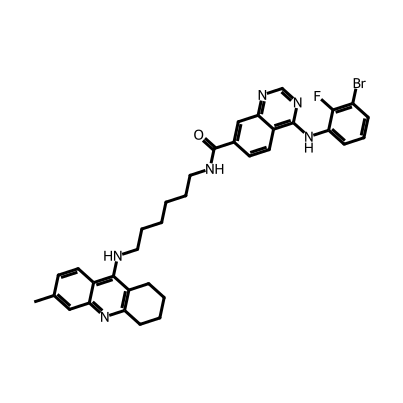 Cc1ccc2c(NCCCCCCNC(=O)c3ccc4c(Nc5cccc(Br)c5F)ncnc4c3)c3c(nc2c1)CCCC3